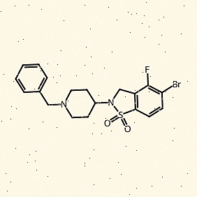 O=S1(=O)c2ccc(Br)c(F)c2CN1C1CCN(Cc2ccccc2)CC1